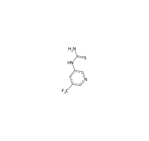 NC(=S)Nc1cncc(C(F)(F)F)c1